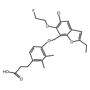 CCc1cc2cc(Cl)c(OCCF)c(COc3ccc(CCC(=O)O)c(C)c3C)c2o1